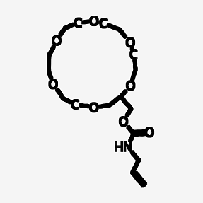 C=CCNC(=O)OCC1COCCOCCOCCOCCOCCO1